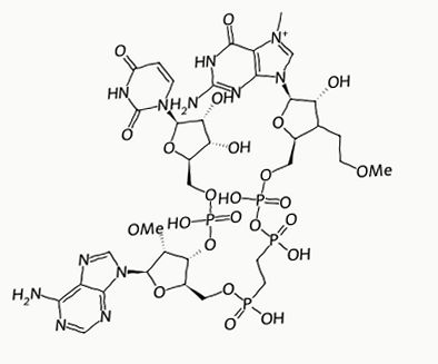 COCCC1[C@@H](O)[C@H](n2c[n+](C)c3c(=O)[nH]c(N)nc32)O[C@@H]1COP(=O)(O)OP(=O)(O)CCP(=O)(O)OC[C@H]1O[C@@H](n2cnc3c(N)ncnc32)[C@H](OC)[C@@H]1OP(=O)(O)OC[C@H]1O[C@@H](n2ccc(=O)[nH]c2=O)[C@H](O)[C@@H]1O